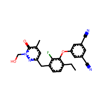 CCc1ccc(Cc2cc(C)c(=O)n(CO)n2)c(F)c1Oc1cc(C#N)cc(C#N)c1